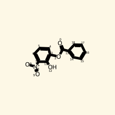 O=C(Oc1cccc([N+](=O)[O-])c1O)c1ccccc1